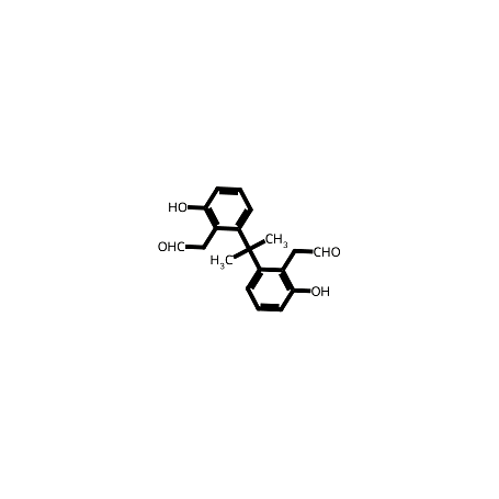 CC(C)(c1cccc(O)c1CC=O)c1cccc(O)c1CC=O